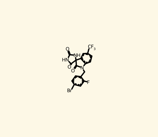 O=C1NC(=O)C2(N1)C(=O)N(Cc1ccc(Br)cc1F)c1ccc(C(F)(F)F)cc12